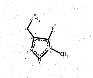 CCc1nnn(C)c1F